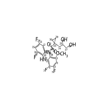 COc1cc(F)c(F)c(Nc2ccc(F)cc2F)c1NS(=O)(=O)C1(CC(O)CO)CC1